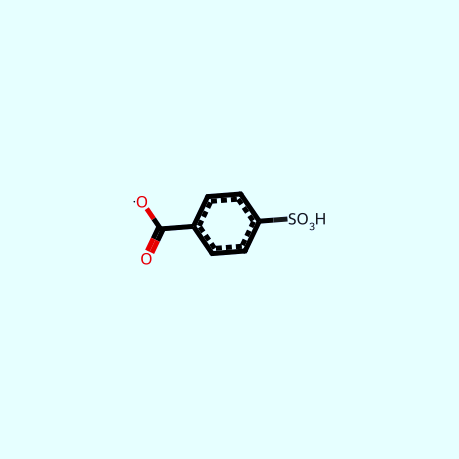 [O]C(=O)c1ccc(S(=O)(=O)O)cc1